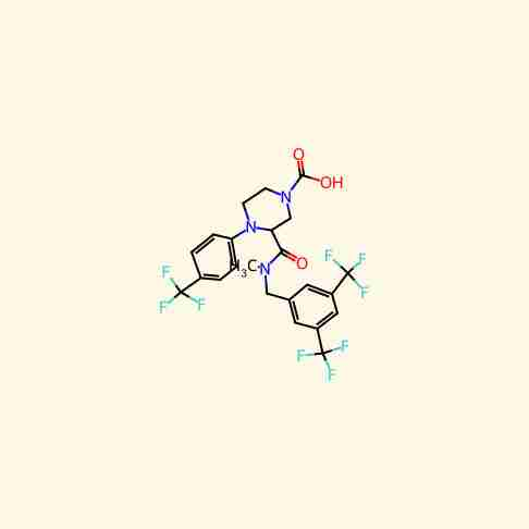 CN(Cc1cc(C(F)(F)F)cc(C(F)(F)F)c1)C(=O)C1CN(C(=O)O)CCN1c1ccc(C(F)(F)F)cc1